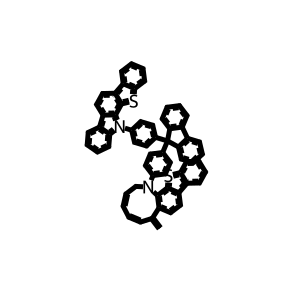 C=C1/C=C\C=C/CN(c2ccc(C3(c4ccc(-n5c6ccccc6c6ccc7c8ccccc8sc7c65)cc4)c4ccccc4-c4ccccc43)cc2)c2c1ccc1c2sc2ccccc21